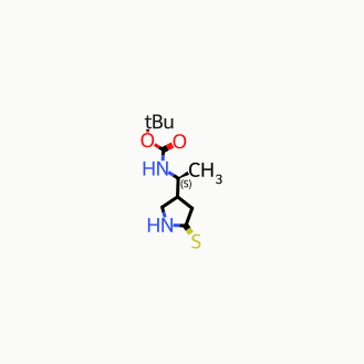 C[C@H](NC(=O)OC(C)(C)C)C1CNC(=S)C1